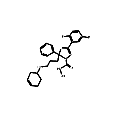 O=C(NO)N1N=C(c2cc(F)ccc2F)SC1(CCCNC1CC=CCC1)c1ccccc1